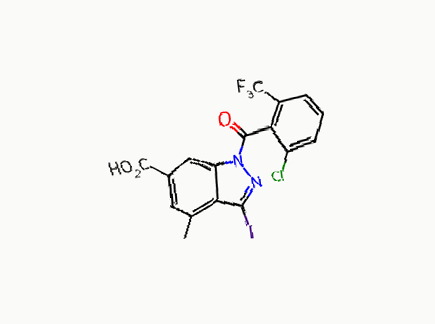 Cc1cc(C(=O)O)cc2c1c(I)nn2C(=O)c1c(Cl)cccc1C(F)(F)F